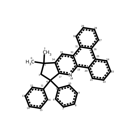 CC1(C)CC(c2ccccc2)(c2ccccc2)c2nc3c4ccccc4c4ccccc4c3cc21